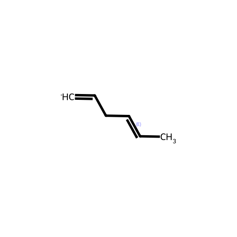 [CH]=CC/C=[C]/C